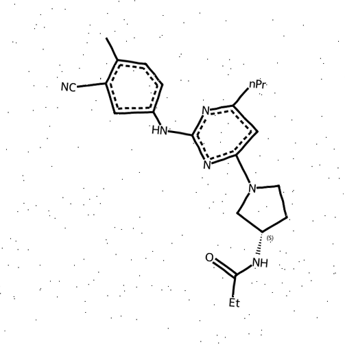 CCCc1cc(N2CC[C@H](NC(=O)CC)C2)nc(Nc2ccc(C)c(C#N)c2)n1